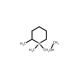 CC1CCCC[Si]1(C)C.CO